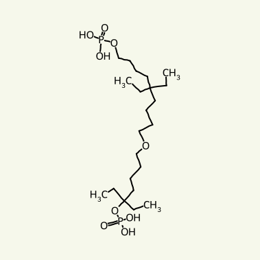 CCC(CC)(CCCCOCCCCC(CC)(CC)OP(=O)(O)O)CCCCOP(=O)(O)O